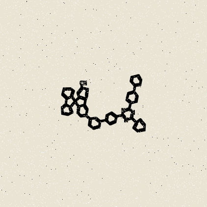 N#Cc1ccc2c(c1)C1(c3ccccc3-c3ccccc31)c1ccc(-c3cccc(-c4ccc(-c5nc(-c6ccccc6)nc(-c6ccc(-c7ccccc7)cc6)n5)cc4)c3)cc1-2